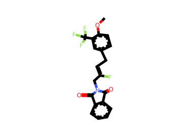 COc1ccc(CC=C(F)CN2C(=O)c3ccccc3C2=O)cc1C(F)(F)F